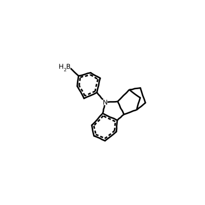 Bc1ccc(N2c3ccccc3C3C4CCC(C4)C32)cc1